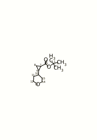 CC(C)(C)OC(=O)C1CC1C1CCOCC1